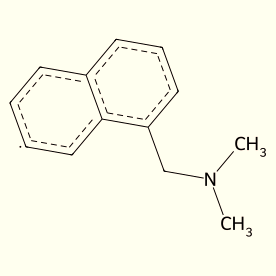 CN(C)Cc1cccc2cc[c]cc12